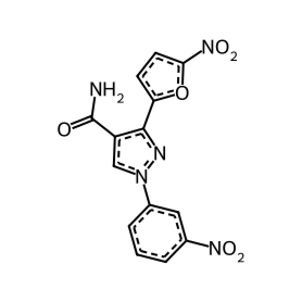 NC(=O)c1cn(-c2cccc([N+](=O)[O-])c2)nc1-c1ccc([N+](=O)[O-])o1